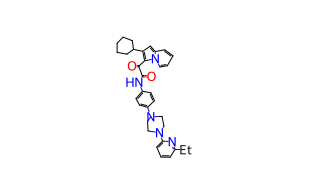 CCc1cccc(N2CCN(c3ccc(NC(=O)C(=O)c4c(C5CCCCC5)cc5ccccn45)cc3)CC2)n1